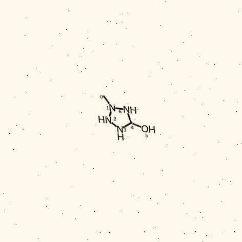 CN1NNC(O)N1